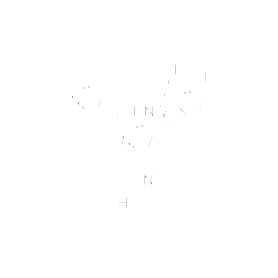 CCN1CCc2cc(NS(=O)(=O)c3cccc(Cl)c3C)c(OCc3cccnc3)nc2CC1